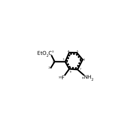 CCOC(=O)C(C)c1cccc(N)c1F